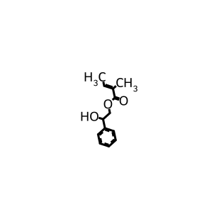 CC=C(C)C(=O)OCC(O)c1ccccc1